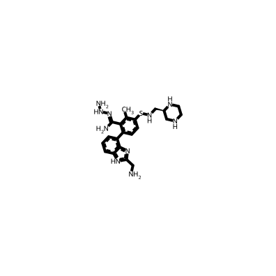 Cc1c(SNC[C@@H]2CNCCN2)ccc(-c2cccc3[nH]c(CN)nc23)c1/C(N)=N/NN